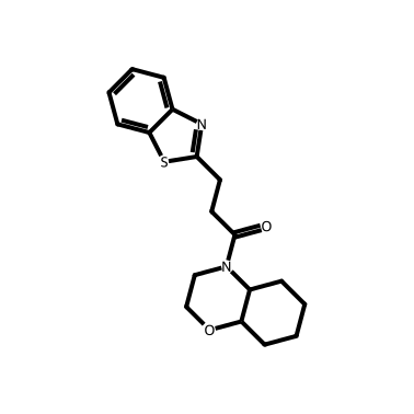 O=C(CCc1nc2ccccc2s1)N1CCOC2CCCCC21